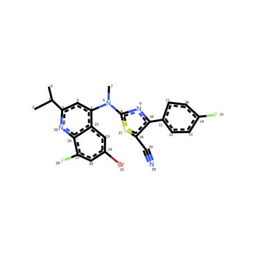 CC(C)c1cc(N(C)c2nc(-c3ccc(F)cc3)c(C#N)s2)c2cc(Br)cc(F)c2n1